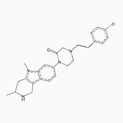 CC1Cc2c(c3ccc(N4CCN(CCc5ccc(Cl)cc5)CC4=O)cc3n2C)CN1